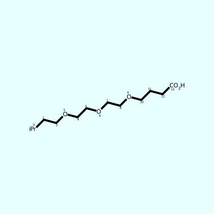 CC(C)CCOCCOCCOCCCC(=O)O